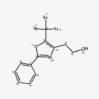 [2H]C([2H])([2H])c1oc(-c2ccccc2)nc1CCO